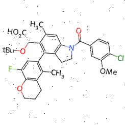 COc1cc(C(=O)N2CCc3c2cc(C)c([C@H](OC(C)(C)C)C(=O)O)c3-c2cc(F)c3c(c2C)CCCO3)ccc1Cl